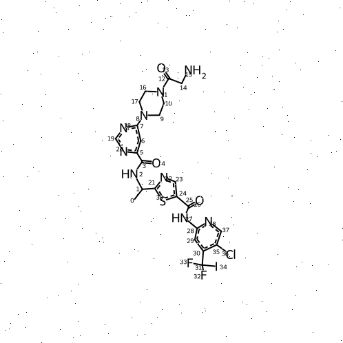 CC(NC(=O)c1cc(N2CCN(C(=O)CN)CC2)ncn1)c1ncc(C(=O)Nc2cc(C(F)(F)I)c(Cl)cn2)s1